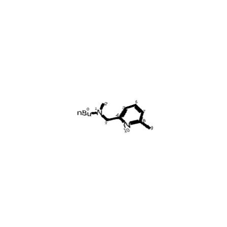 CCCCN(C)Cc1cccc(C)n1